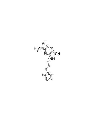 CC(=O)c1cc(C#N)c(NCCCn2ccnc2)nc1C